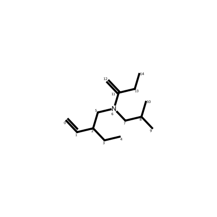 C=CC(CC)CN(CC(C)C)C(=C)CC